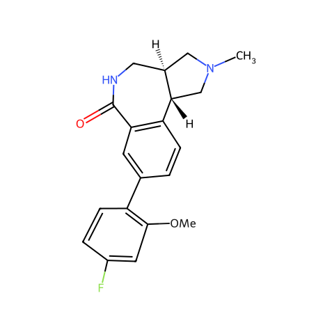 COc1cc(F)ccc1-c1ccc2c(c1)C(=O)NC[C@H]1CN(C)C[C@H]21